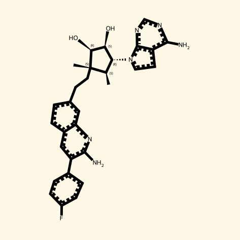 C[C@@H]1[C@@H](n2ccc3c(N)ncnc32)[C@H](O)[C@H](O)[C@@]1(C)CCc1ccc2cc(-c3ccc(F)cc3)c(N)nc2c1